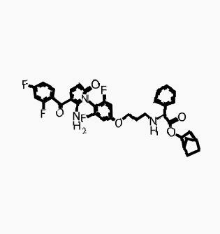 Nc1c(C(=O)c2ccc(F)cc2F)ccc(=O)n1-c1c(F)cc(OCCCN[C@H](C(=O)OC2CC3CCC2C3)c2ccccc2)cc1F